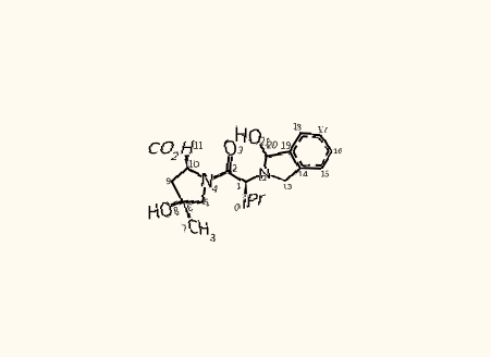 CC(C)[C@@H](C(=O)N1C[C@](C)(O)C[C@H]1C(=O)O)N1Cc2ccccc2C1O